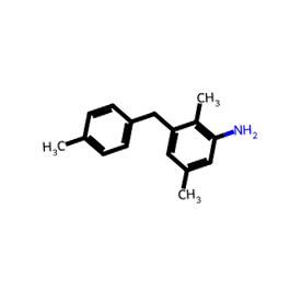 Cc1ccc(Cc2cc(C)cc(N)c2C)cc1